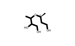 CC(O[C@@H](C)CCO)C(O)CO